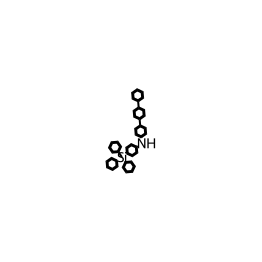 c1ccc(-c2ccc(-c3ccc(Nc4ccc([Si](c5ccccc5)(c5ccccc5)c5ccccc5)cc4)cc3)cc2)cc1